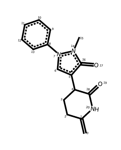 C=C1CCC(c2cn(-c3ccccc3)n(C)c2=O)C(=O)N1